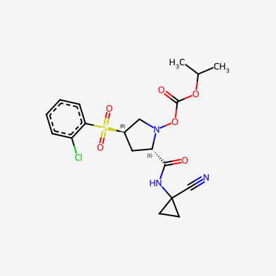 CC(C)OC(=O)ON1C[C@H](S(=O)(=O)c2ccccc2Cl)C[C@H]1C(=O)NC1(C#N)CC1